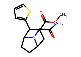 COC(=O)C1CC2CCC(C1c1cccs1)N2CC(N)=O